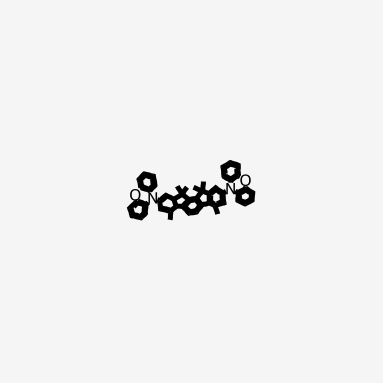 CC1=CC(N2c3ccccc3Oc3ccccc32)=CC2C1c1ccc3c(c1C2(C)C)C(C)(C)c1cc(N2c4ccccc4Oc4ccccc42)cc(C)c1-3